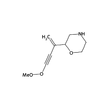 C=C(C#COOC)C1CNCCO1